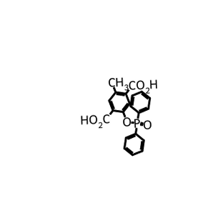 Cc1cc(C(=O)O)c(OP(=O)(c2ccccc2)c2ccccc2)cc1C(=O)O